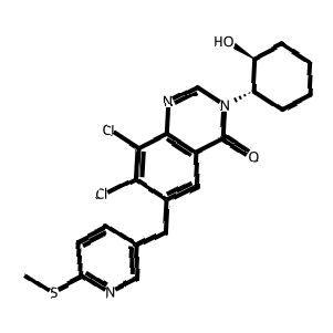 CSc1ccc(Cc2cc3c(=O)n([C@H]4CCCC[C@@H]4O)cnc3c(Cl)c2Cl)cn1